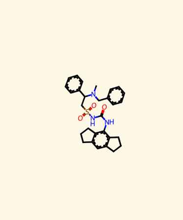 CN(Cc1ccccc1)C(CS(=O)(=O)NC(=O)Nc1c2c(cc3c1CCC3)CCC2)c1ccccc1